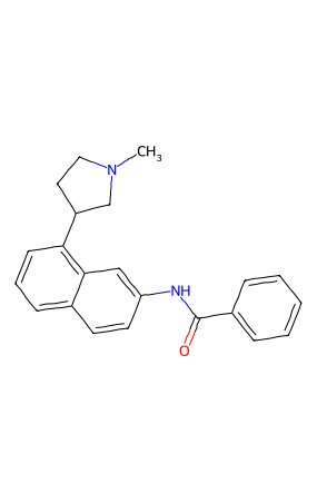 CN1CCC(c2cccc3ccc(NC(=O)c4ccccc4)cc23)C1